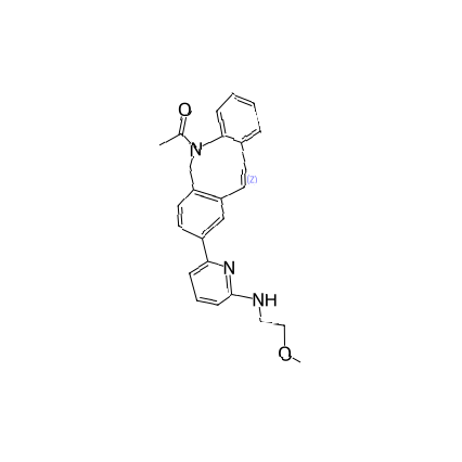 COCCNc1cccc(-c2ccc3c(c2)/C=C\c2ccccc2N(C(C)=O)C3)n1